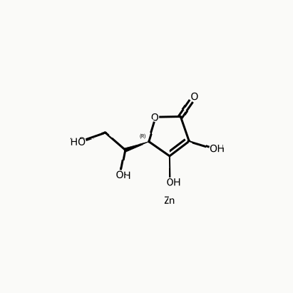 O=C1O[C@H](C(O)CO)C(O)=C1O.[Zn]